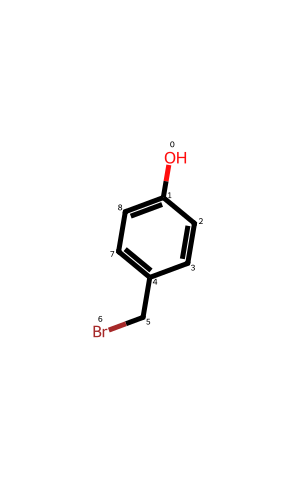 Oc1ccc(CBr)cc1